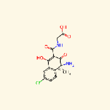 C[C@@]1(N)C(=O)C(C(=O)NCC(=O)O)=C(O)c2cc(Cl)ccc21